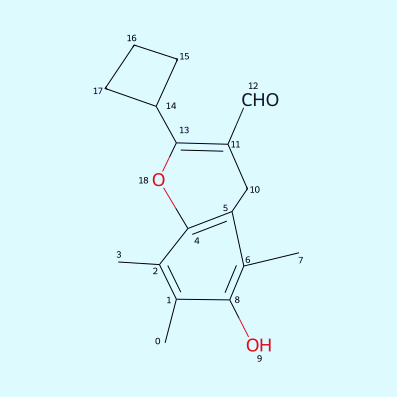 Cc1c(C)c2c(c(C)c1O)CC(C=O)=C(C1CCC1)O2